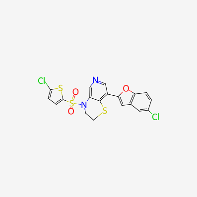 O=S(=O)(c1ccc(Cl)s1)N1CCSc2c(-c3cc4cc(Cl)ccc4o3)cncc21